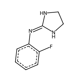 Fc1ccccc1N=C1NCCN1